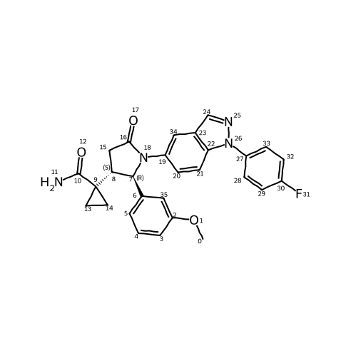 COc1cccc([C@H]2[C@H](C3(C(N)=O)CC3)CC(=O)N2c2ccc3c(cnn3-c3ccc(F)cc3)c2)c1